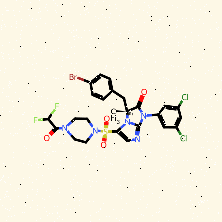 C[C@@]1(Cc2ccc(Br)cc2)C(=O)N(c2cc(Cl)cc(Cl)c2)c2ncc(S(=O)(=O)N3CCN(C(=O)C(F)F)CC3)n21